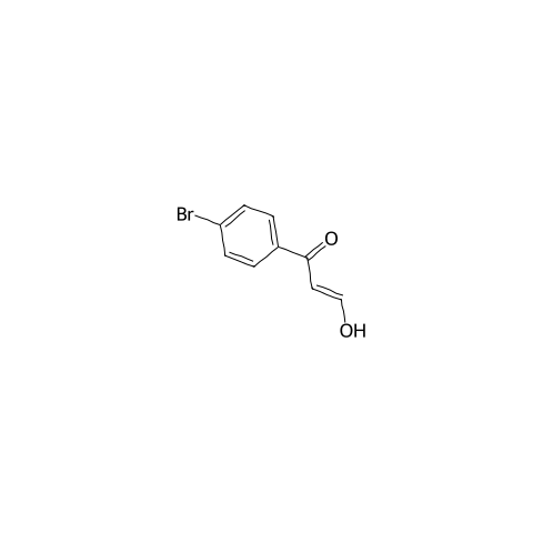 O=C(C=CO)c1ccc(Br)cc1